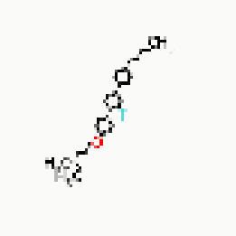 CCCCCc1ccc(-c2ccc(-c3ccc(OCCC[C@@H](C)CC)cc3)c(F)c2)cc1